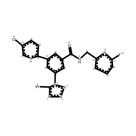 CC(C)c1nnnn1-c1cc(C(=O)NCc2cccc(F)n2)cc(-c2ccc(Cl)cn2)c1